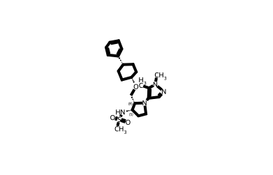 Cc1c(N2CC[C@H](NS(C)(=O)=O)[C@@H]2CO[C@H]2CC[C@@H](c3ccccc3)CC2)cnn1C